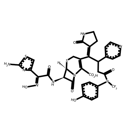 Nc1nc(C(=NO)C(=O)N[C@@H]2C(=O)N3C(C(=O)O)=C(C(=C4CCNC4=O)C(CC(=O)N(c4ccc(O)cc4)C(F)(F)F)c4ccncc4)CS[C@H]23)cs1